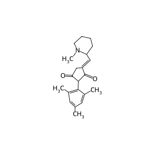 Cc1cc(C)c(C2C(=O)C/C(=C\C3CCCCN3C)C2=O)c(C)c1